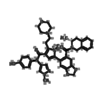 C[C@@H]1Cc2ccccc2CN1C(=O)c1cc2c(cc1-c1cc(C(=O)N(c3ccc(O)cc3)c3cnn(C)c3)c(CCN3CCOCC3)n1C)OCO2